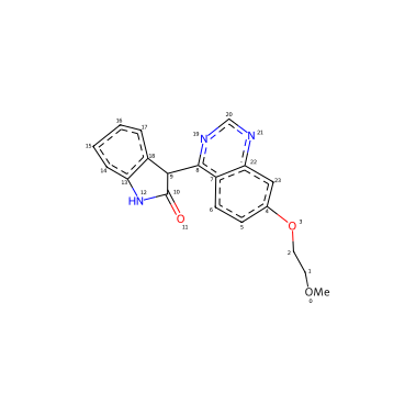 COCCOc1ccc2c(C3C(=O)Nc4ccccc43)ncnc2c1